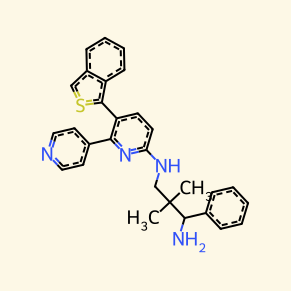 CC(C)(CNc1ccc(-c2scc3ccccc23)c(-c2ccncc2)n1)C(N)c1ccccc1